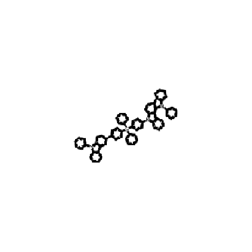 c1ccc(-n2c3ccccc3c3cc(-c4ccc([Si](c5ccccc5)(c5ccccc5)c5ccc(-n6c7ccccc7c7c6ccc6c8ccccc8n(-c8ccccc8)c67)cc5)cc4)ccc32)cc1